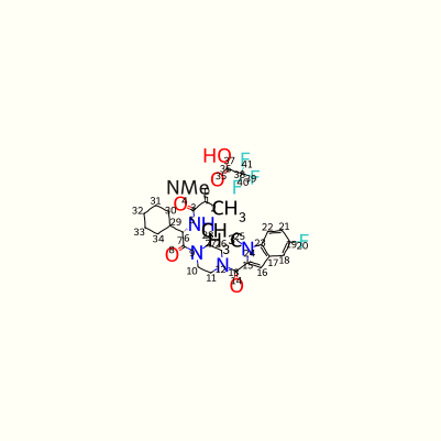 CN[C@@H](C)C(=O)N[C@H](C(=O)N1CCN(C(=O)c2cc3cc(F)ccc3n2C)C[C@H]1C)C1CCCCC1.O=C(O)C(F)(F)F